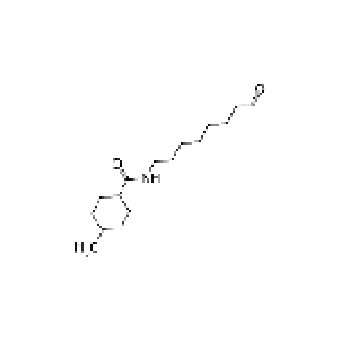 CC1CCC(C(=O)NCCCCCCCC=O)CC1